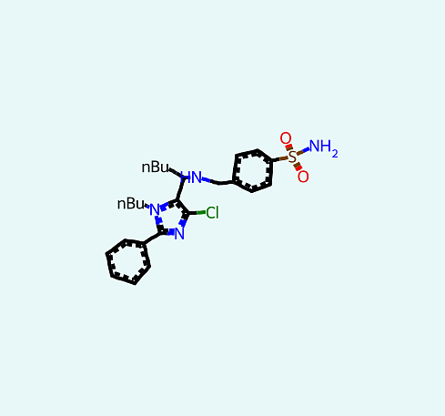 CCCCC(NCc1ccc(S(N)(=O)=O)cc1)c1c(Cl)nc(-c2ccccc2)n1CCCC